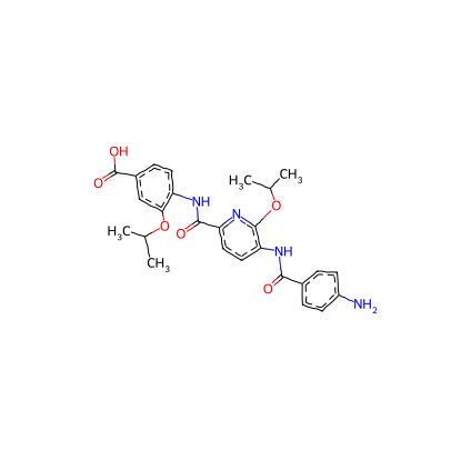 CC(C)Oc1cc(C(=O)O)ccc1NC(=O)c1ccc(NC(=O)c2ccc(N)cc2)c(OC(C)C)n1